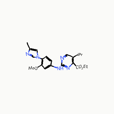 CCOC(=O)c1nc(Nc2ccc(-n3cnc(C)c3)c(OC)c2)ncc1C(C)C